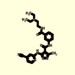 CCN(CC)CCNC(=O)c1cccc(NC(=O)c2c(C)nsc2Nc2cc(C#N)ccn2)c1